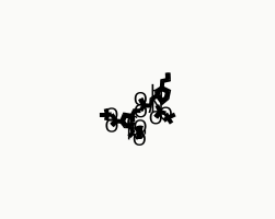 C=CCc1cccc(C[C@](C)(NC(=O)OC(C)(C)C)C(=O)OCc2cc(C(=O)OC(C)(C)C)cc(N(C)S(C)(=O)=O)c2)c1